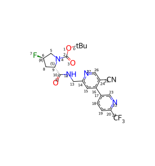 CC(C)(C)OC(=O)N1C[C@H](F)C[C@H]1C(=O)NCc1cc(-c2ccc(C(F)(F)F)nc2)c(C#N)cn1